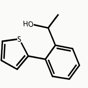 CC(O)c1ccccc1-c1cccs1